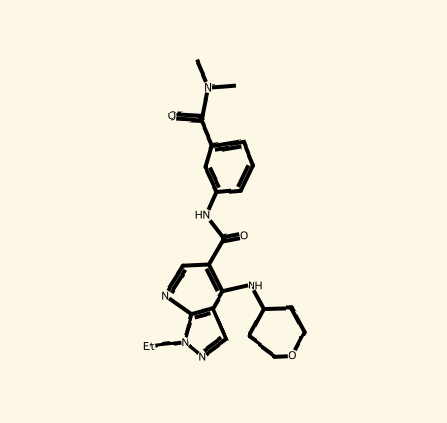 CCn1ncc2c(NC3CCOCC3)c(C(=O)Nc3cccc(C(=O)N(C)C)c3)cnc21